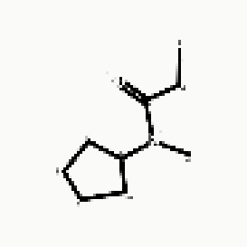 CN(C(=O)CI)C1CCCC1